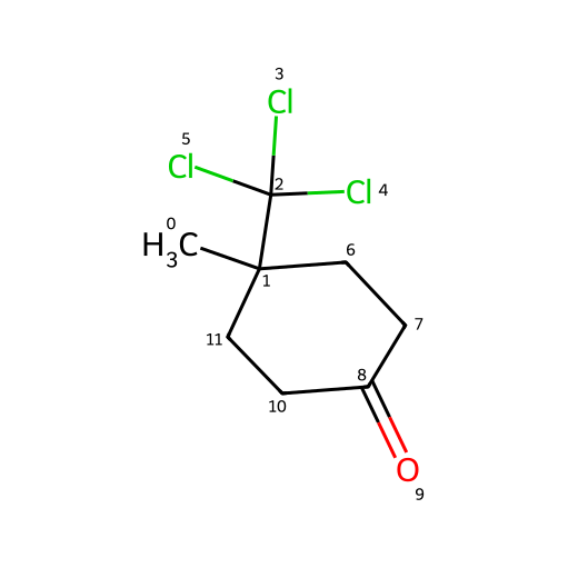 CC1(C(Cl)(Cl)Cl)CCC(=O)CC1